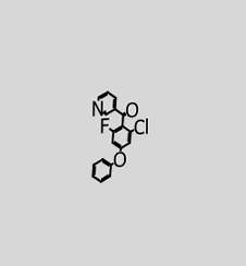 O=C(c1cccnc1)c1c(F)cc(Oc2ccccc2)cc1Cl